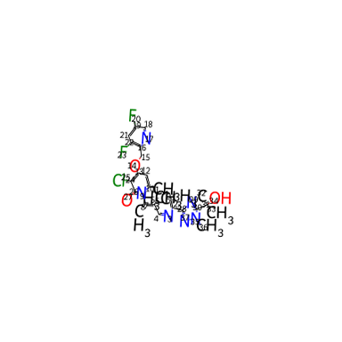 C\C=C(/N=C\C(C)=C(/C)n1c(C)cc(OCc2ncc(F)cc2F)c(Cl)c1=O)c1nc(C(C)(C)O)n(C)n1